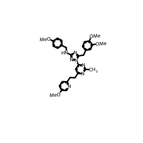 COc1ccc(CNc2nc(Cc3ccc(OC)c(OC)c3)n(-c3cc(CCc4ccc(OC)cn4)nc(C)n3)n2)cc1